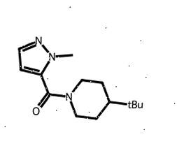 Cn1nccc1C(=O)N1CCC(C(C)(C)C)CC1